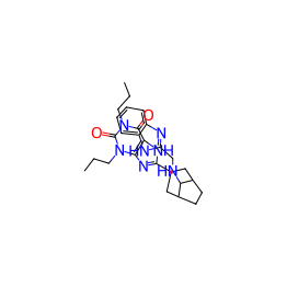 CCCn1c(=O)c2[nH]c(C3CC4CCC(C3)C4NCc3nc4ccccc4[nH]3)nc2n(CCC)c1=O